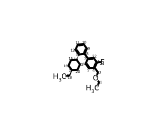 CCOCc1ccc(-c2ccccc2[C@H]2CC[C@H](CC)CC2)cc1F